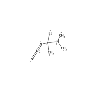 CCC(C)(N=[N+]=[N-])N(C)C